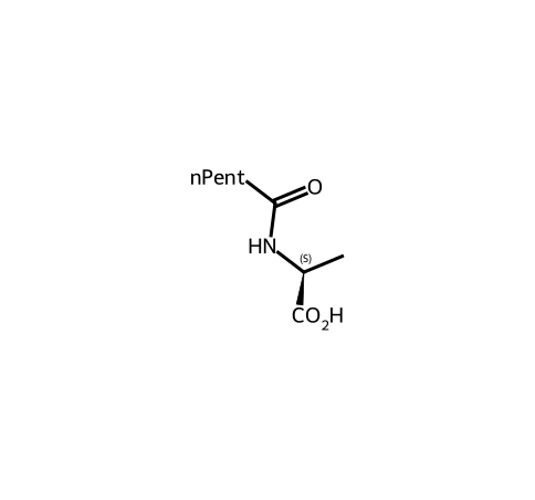 CCCCCC(=O)N[C@@H](C)C(=O)O